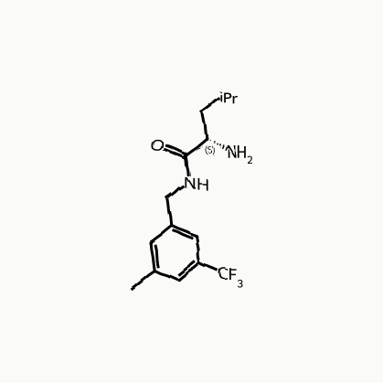 Cc1cc(CNC(=O)[C@@H](N)CC(C)C)cc(C(F)(F)F)c1